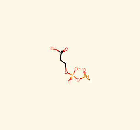 C[PH](=O)OP(=O)(O)OCCC(=O)O